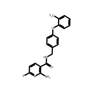 Nc1nc(F)ccc1C(=O)NCc1ccc(Oc2ccccc2C(F)(F)F)cc1